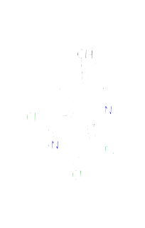 Cc1cnc2c(F)c(Cl)nc(Cl)c2c1